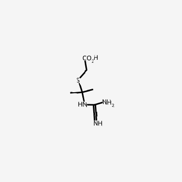 CC(C)(NC(=N)N)SCC(=O)O